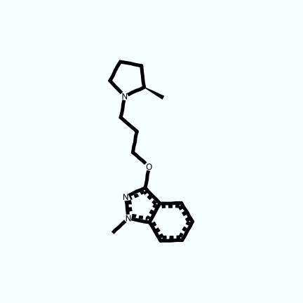 C[C@@H]1CCCN1CCCOc1nn(C)c2ccccc12